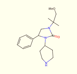 COCC(C)(C)N1CC(c2ccccc2)N(C2CCNCC2)C1=O